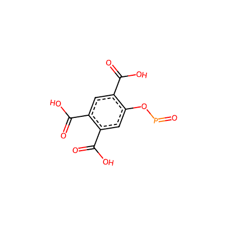 O=POc1cc(C(=O)O)c(C(=O)O)cc1C(=O)O